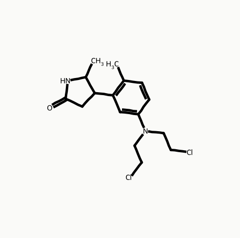 Cc1ccc(N(CCCl)CCCl)cc1C1CC(=O)NC1C